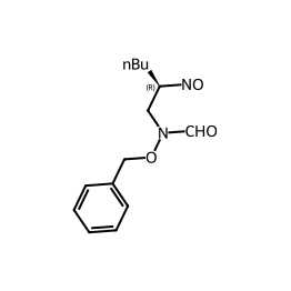 CCCC[C@H](CN(C=O)OCc1ccccc1)N=O